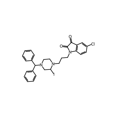 O=C1C(=O)N(CCCN2CCN(C(c3ccccc3)c3ccccc3)CC2I)c2ccc(Cl)cc21